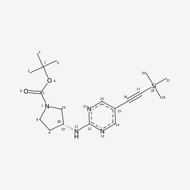 CC(C)(C)OC(=O)N1CC[C@@H](Nc2ncc(C#C[Si](C)(C)C)cn2)C1